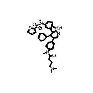 CN(C)CCCC(=O)N(C)c1ccc(-c2cnc3[nH]c4ccc(N(C)S(=O)(=O)c5cccs5)cc4c3c2C2=CC=CCC2)cc1